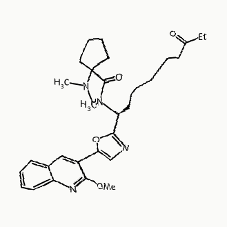 CCC(=O)CCCCC[C@H](NC(=O)C1(N(C)C)CCCC1)c1ncc(-c2cc3ccccc3nc2OC)o1